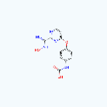 N=C(NO)c1nccc(Oc2ccc(NC(=O)O)cc2)n1